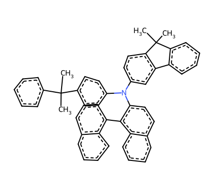 CC(C)(c1ccccc1)c1ccc(N(c2ccc3c(c2)-c2ccccc2C3(C)C)c2ccc3ccccc3c2-c2cccc3ccccc23)cc1